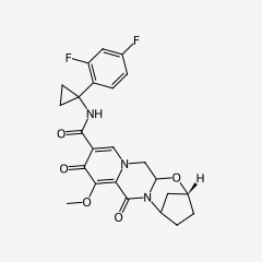 COc1c2n(cc(C(=O)NC3(c4ccc(F)cc4F)CC3)c1=O)CC1O[C@@H]3CCC(C3)N1C2=O